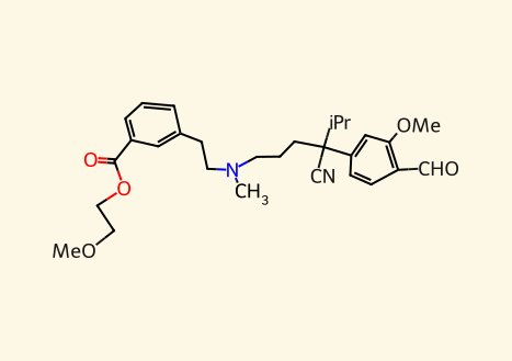 COCCOC(=O)c1cccc(CCN(C)CCCC(C#N)(c2ccc(C=O)c(OC)c2)C(C)C)c1